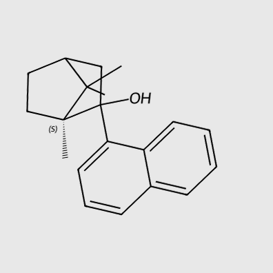 CC1(C)C2CC[C@]1(C)C(O)(c1cccc3ccccc13)C2